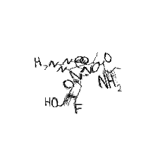 CC[C@H](C)[C@H](N)C(=O)OC(C)C(=O)C12N=CN([C@H]3CC(F)[C@@H](CO)O3)C1=NC(N)=NC2=O